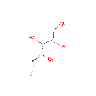 OCC(O)C(O)C(O)C=S